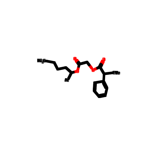 COC(C(=O)OCC(=O)OC(CCCC(=O)O)C(C)=O)c1ccccc1